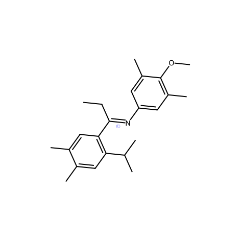 CC/C(=N\c1cc(C)c(OC)c(C)c1)c1cc(C)c(C)cc1C(C)C